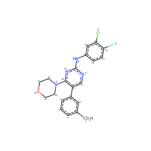 O=C(O)c1cccc(-c2cnc(Nc3ccc(F)c(Cl)c3)nc2N2CCOCC2)c1